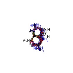 CC[C@H](C)[C@@H]1NC(=O)[C@@H](NC(C)=O)CSCc2cc3cc(c2)CSC[C@H](NC(=O)[C@H](CC(N)=O)NC(=O)[C@@H]2CCCN2C(=O)[C@H](CCCCNC(=N)N)NC(=O)[C@H](CC(C)C)NC1=O)C(=O)N[C@@H](CC(=O)O)C(=O)N[C@@H](CC(C)C)C(=O)N[C@@H](CC(=O)O)C(=O)NCC(=O)N[C@@H](CCCNC(=N)N)C(=O)N[C@H](C(C)=O)CSC3